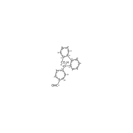 O=Cc1ccc(Oc2ccccc2-c2ccccc2C(=O)O)cc1